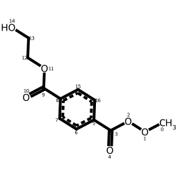 COOC(=O)c1ccc(C(=O)OCCO)cc1